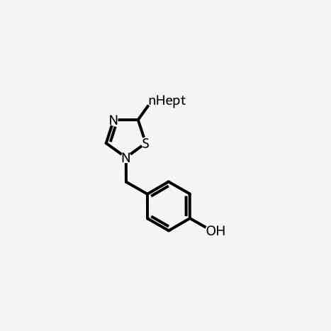 CCCCCCCC1N=CN(Cc2ccc(O)cc2)S1